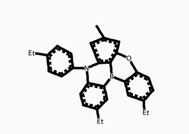 CCc1ccc(N2c3ccc(CC)cc3B3c4cc(CC)ccc4Oc4cc(C)cc2c43)cc1